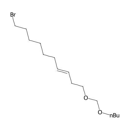 CCCCOCOCCC=CCCCCCCBr